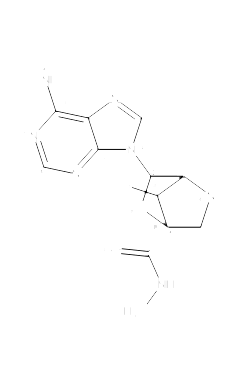 CNC(=O)[C@]12CNC(C(n3cnc4c(N)ncnc43)O1)C2O